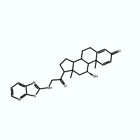 CC12C=CC(=O)C=C1CCC1C2[C@@H](O)CC2(C)C(C(=O)CNc3nc4cccnc4s3)CCC12